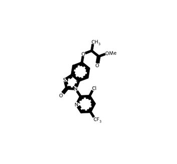 COC(=O)C(C)Oc1ccc2c(c1)sc(=O)n2-c1ncc(C(F)(F)F)cc1Cl